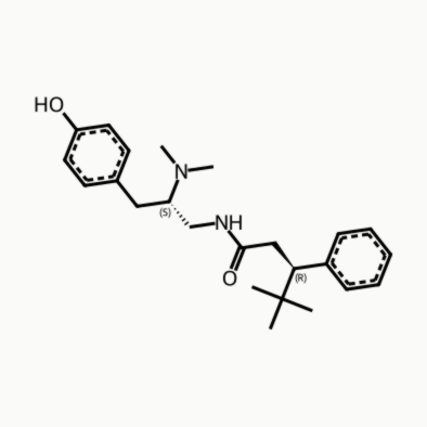 CN(C)[C@H](CNC(=O)C[C@@H](c1ccccc1)C(C)(C)C)Cc1ccc(O)cc1